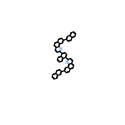 c1ccc2cc(-c3ccc4ccc5ccc(-c6ccc(-c7ccc8ccc9ccc(-c%10ccc%11ccccc%11c%10)cc9c8n7)c7ccccc67)nc5c4c3)ccc2c1